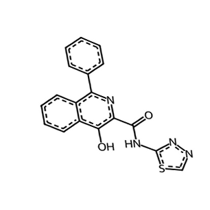 O=C(Nc1nncs1)c1nc(-c2ccccc2)c2ccccc2c1O